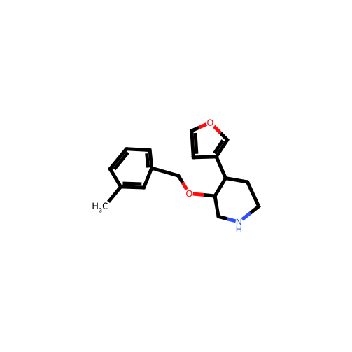 Cc1cccc(COC2CNCCC2c2ccoc2)c1